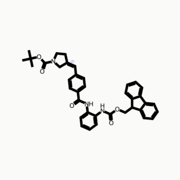 CC(C)(C)OC(=O)N1CC/C(=C/c2ccc(C(=O)Nc3ccccc3NC(=O)OCC3c4ccccc4-c4ccccc43)cc2)C1